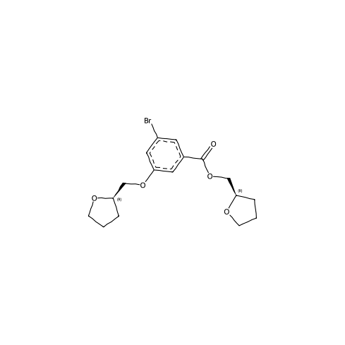 O=C(OC[C@H]1CCCO1)c1cc(Br)cc(OC[C@H]2CCCO2)c1